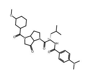 COC1CCCC(C(=O)N2CC(=O)C3C2CCN3C(=O)[C@H](CC(C)C)NC(=O)c2ccc(N(C)C)cc2)C1